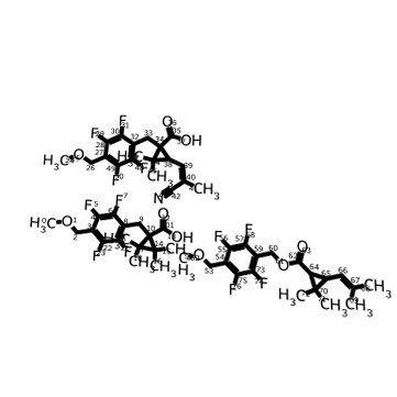 COCc1c(F)c(F)c(CC2(C(=O)O)C(C)(C)C2(C)C)c(F)c1F.COCc1c(F)c(F)c(CC2(C(=O)O)C(C=C(C)C#N)C2(C)C)c(F)c1F.COCc1c(F)c(F)c(COC(=O)C2C(C=C(C)C)C2(C)C)c(F)c1F